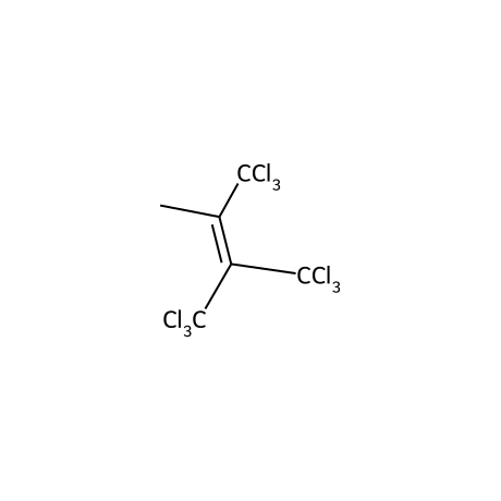 CC(=C(C(Cl)(Cl)Cl)C(Cl)(Cl)Cl)C(Cl)(Cl)Cl